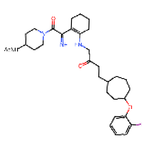 CC(=O)NC1CCN(C(=O)C(=N)C2=C(NCC(=O)CCC3CCCC(Oc4ccccc4I)CC3)CCCC2)CC1